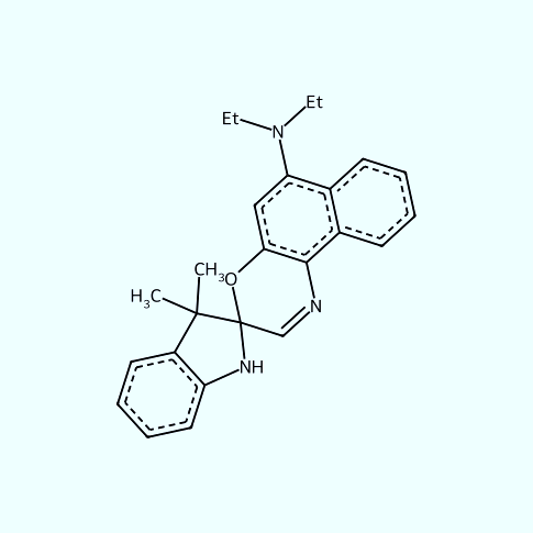 CCN(CC)c1cc2c(c3ccccc13)N=CC1(Nc3ccccc3C1(C)C)O2